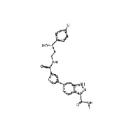 CNC(=O)c1n[nH]c2cc(-c3csc(C(=O)NCC[C@@H](O)c4ccc(Cl)cc4)c3)ccc12